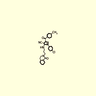 Cc1ccc(C(=O)c2nn(-c3ccc(Cl)cc3)c(NCCCN3CCc4ccccc4C3=O)c2C#N)cc1